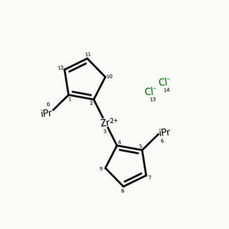 CC(C)C1=[C]([Zr+2][C]2=C(C(C)C)C=CC2)CC=C1.[Cl-].[Cl-]